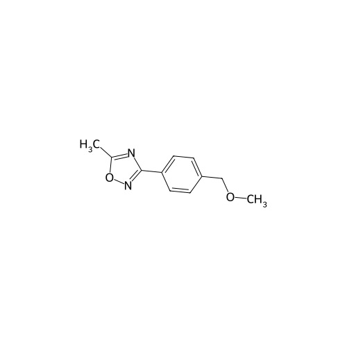 COCc1ccc(-c2noc(C)n2)cc1